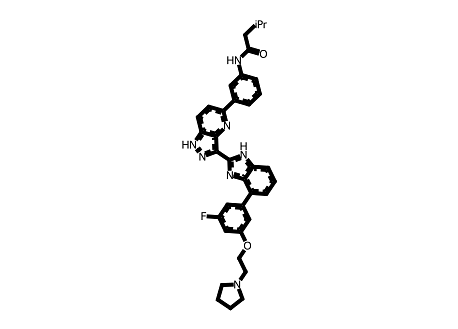 CC(C)CC(=O)Nc1cccc(-c2ccc3[nH]nc(-c4nc5c(-c6cc(F)cc(OCCN7CCCC7)c6)cccc5[nH]4)c3n2)c1